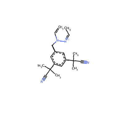 C=CN(Cc1cc(C(C)(C)C#N)cc(C(C)(C)C#N)c1)/N=C\C